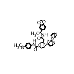 COc1ccc(NC(=O)N2CCN(c3ccnc(-n4ccnc4)n3)C(CC(=O)NC(C)c3ccc4c(c3)OCO4)C2)cc1